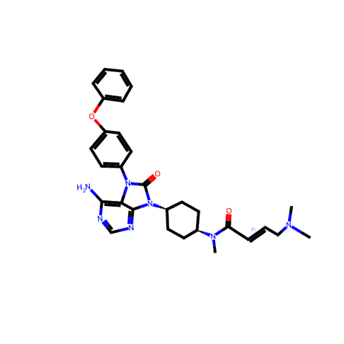 CN(C)C/C=C/C(=O)N(C)[C@H]1CC[C@@H](n2c(=O)n(-c3ccc(Oc4ccccc4)cc3)c3c(N)ncnc32)CC1